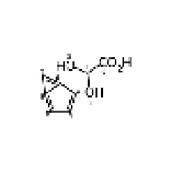 O=C(O)C(O)O.c1cc2cc-2c1